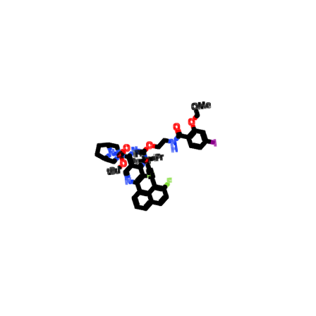 COCOc1cc(I)ccc1C(=O)NCCOc1nc(N2CC3CCC(C2)N3C(=O)OC(C)(C)C)c2cnc(-c3cccc4ccc(F)c(C#C[Si](C(C)C)(C(C)C)C(C)C)c34)c(F)c2n1